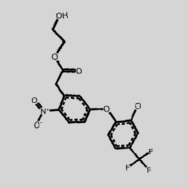 O=C(Cc1cc(Oc2ccc(C(F)(F)F)cc2Cl)ccc1[N+](=O)[O-])OCCO